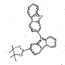 CC1(C)OB(c2ccc3c4ccccc4n(-c4ccc5c(c4)oc4ccccc45)c3c2)OC1(C)C